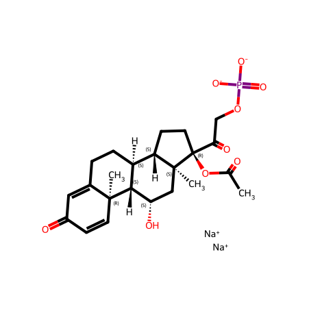 CC(=O)O[C@]1(C(=O)COP(=O)([O-])[O-])CC[C@H]2[C@@H]3CCC4=CC(=O)C=C[C@]4(C)[C@H]3[C@@H](O)C[C@@]21C.[Na+].[Na+]